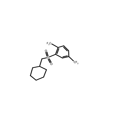 O=S(=O)(CC1CCCCC1)c1cc(C(F)(F)F)ccc1C(F)(F)F